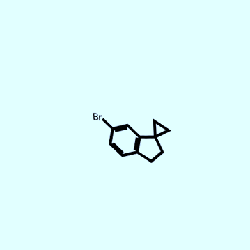 Brc1ccc2c(c1)C1(CC2)CC1